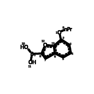 CCCOc1cccc2cc(B(O)O)oc12